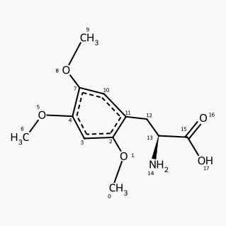 COc1cc(OC)c(OC)cc1C[C@H](N)C(=O)O